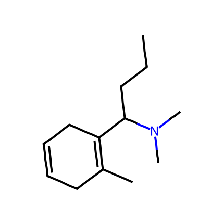 CCCC(C1=C(C)CC=CC1)N(C)C